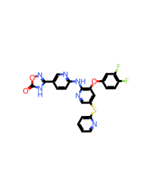 O=c1[nH]c(-c2ccc(Nc3ncc(Sc4ccccn4)cc3Oc3ccc(F)c(F)c3)nc2)no1